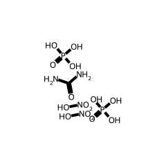 NC(N)=O.O=P(O)(O)O.O=P(O)(O)O.O=[N+]([O-])O.O=[N+]([O-])O